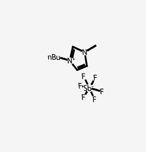 CCCC[n+]1ccn(C)c1.[F][Sb-]([F])([F])([F])([F])[F]